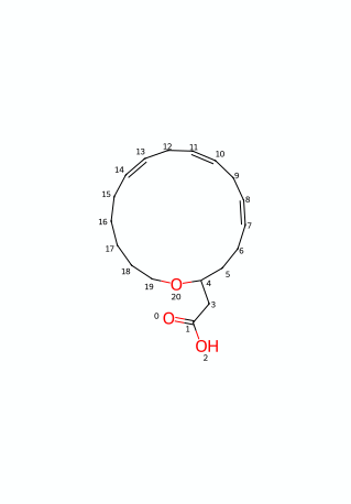 O=C(O)CC1CCC=CCC=CCC=CCCCCCO1